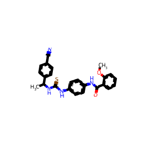 COc1ccccc1C(=O)Nc1ccc(NC(=S)NC(C)c2ccc(C#N)cc2)cc1